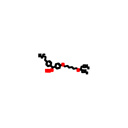 C=CC(=C)OCCCCCCOc1ccc(C(OO)c2ccc(CCC)cc2)cc1